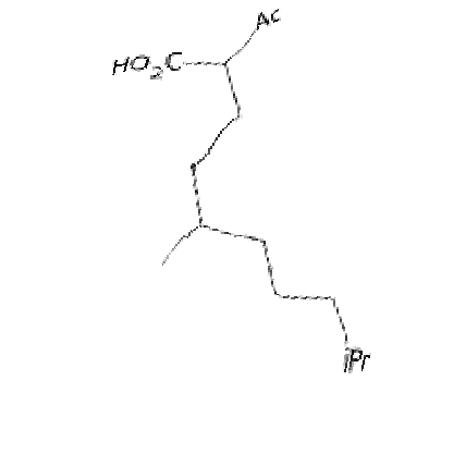 CC(=O)C(CCC(C)CCCC(C)C)C(=O)O